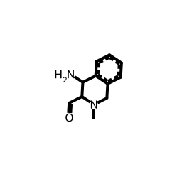 CN1Cc2ccccc2C(N)C1C=O